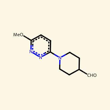 COc1ccc(N2CCC(C=O)CC2)nn1